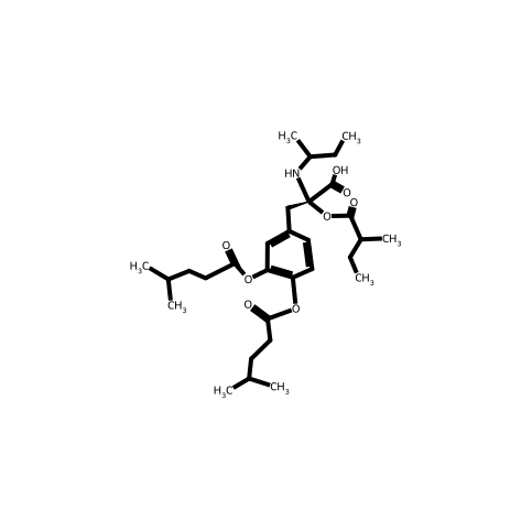 CCC(C)N[C@@](Cc1ccc(OC(=O)CCC(C)C)c(OC(=O)CCC(C)C)c1)(OC(=O)C(C)CC)C(=O)O